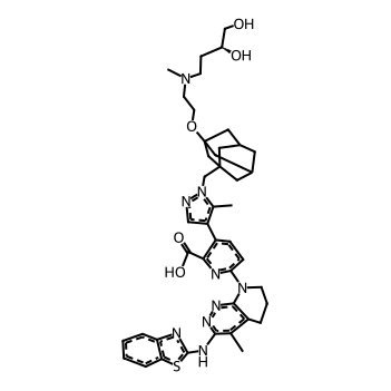 Cc1c(Nc2nc3ccccc3s2)nnc2c1CCCN2c1ccc(-c2cnn(CC34CC5CC(C3)CC(OCCN(C)CC[C@H](O)CO)(C5)C4)c2C)c(C(=O)O)n1